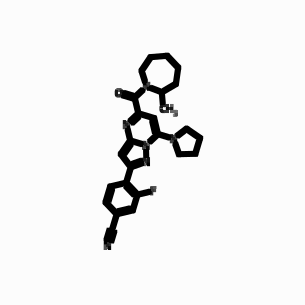 CC1CCCCCN1C(=O)c1cc(N2CCCC2)n2nc(-c3ccc(C#N)cc3F)cc2n1